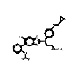 CNCCC(c1ccc(SCC2CC2)cc1)c1nc2cc(-c3ccccc3OC(F)F)c(Cl)cc2[nH]1